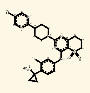 O=C(O)C1(c2ccc(Nc3nc(N4CCC(c5ncc(Cl)cn5)CC4)nc4c3S(=O)(=O)CCC4)cc2F)CC1